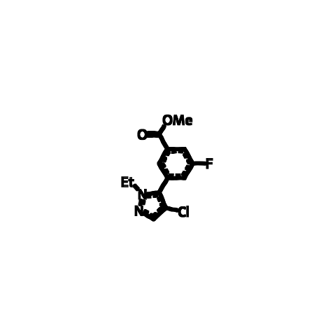 CCn1ncc(Cl)c1-c1cc(F)cc(C(=O)OC)c1